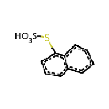 O=S(=O)(O)Sc1cccc2ccccc12